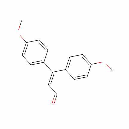 COc1ccc(C(=CC=O)c2ccc(OC)cc2)cc1